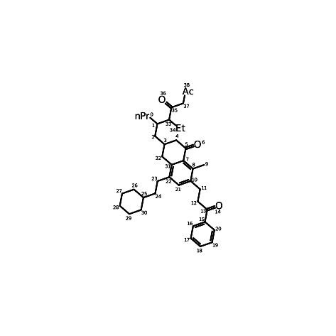 CCCC(CC1CC(=O)c2c(C)c(CCC(=O)c3ccccc3)cc(CCC3CCCCC3)c2C1)C(CC)C(=O)CC(C)=O